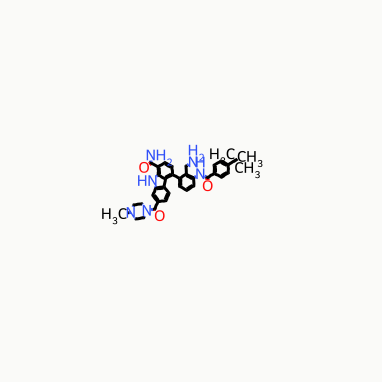 CN1CCN(C(=O)c2ccc3c(c2)[nH]c2c(C(N)=O)ccc(-c4cccc(NC(=O)c5ccc(C(C)(C)C)cc5)c4CN)c23)CC1